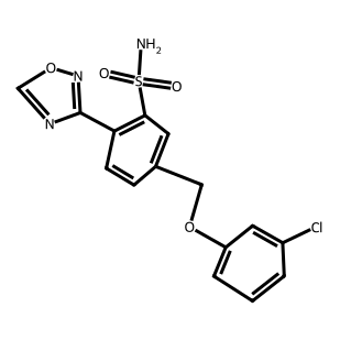 NS(=O)(=O)c1cc(COc2cccc(Cl)c2)ccc1-c1ncon1